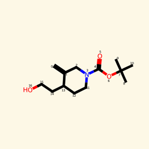 C=C1CN(C(=O)OC(C)(C)C)CCC1CCO